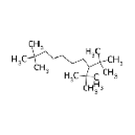 CC(C)(C)CCCCCC(C(C)(C)C)C(C)(C)C